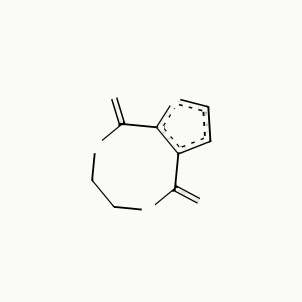 O=C1OCCOC(=O)c2sccc21